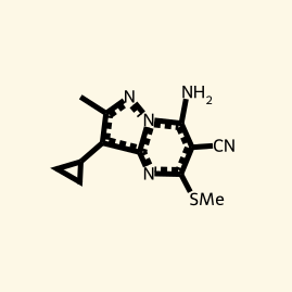 CSc1nc2c(C3CC3)c(C)nn2c(N)c1C#N